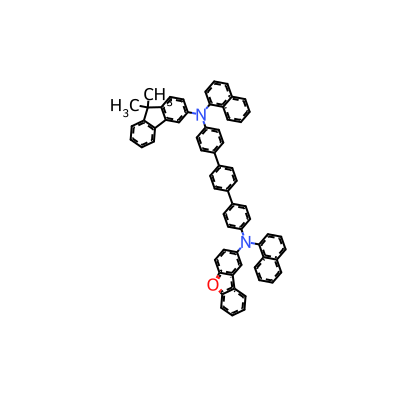 CC1(C)c2ccccc2-c2cc(N(c3ccc(-c4ccc(-c5ccc(N(c6ccc7oc8ccccc8c7c6)c6cccc7ccccc67)cc5)cc4)cc3)c3cccc4ccccc34)ccc21